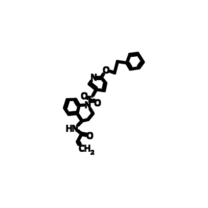 C=CC(=O)NC1CCN(S(=O)(=O)c2ccc(OCCc3ccccc3)nc2)c2ccccc21